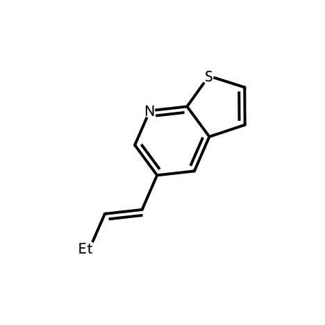 CC/C=C/c1cnc2sccc2c1